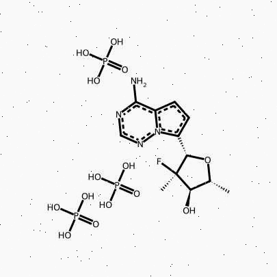 C[C@H]1O[C@@H](c2ccc3c(N)ncnn23)[C@](C)(F)[C@@H]1O.O=P(O)(O)O.O=P(O)(O)O.O=P(O)(O)O